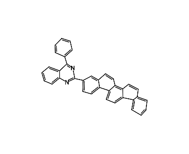 c1ccc(-c2nc(-c3ccc4c(ccc5c4ccc4c6ccccc6ccc45)c3)nc3ccccc23)cc1